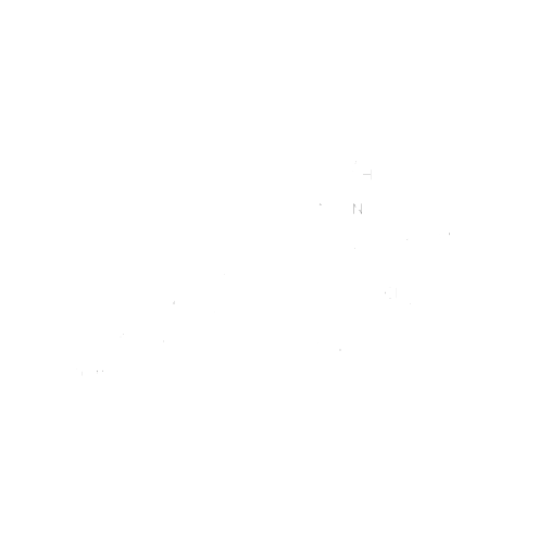 C=CC[N+](C)(CCO)CCCCCCCCCCCCCCCCCCC.[Cl-]